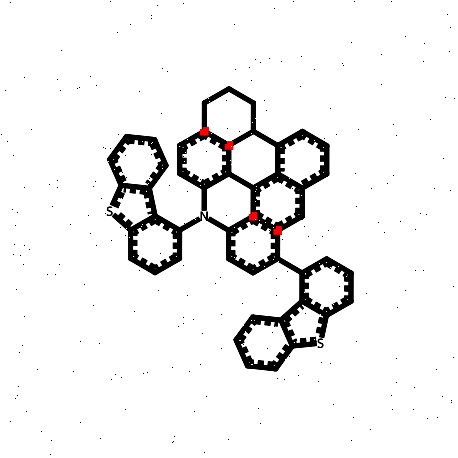 c1ccc(N(c2ccc(-c3cccc4sc5ccccc5c34)cc2)c2cccc3sc4ccccc4c23)c(-c2cccc3cccc(C4CCCCC4)c23)c1